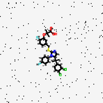 CC(C)(Oc1cc(CSc2ncc(C(C)(C)c3ccc(Cl)c(Cl)c3)n2-c2ccc(F)cc2)ccc1F)C(=O)O